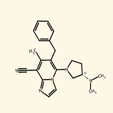 Cc1c(Cc2ccccc2)c(N2CC[C@H](N(C)C)C2)n2ccnc2c1C#N